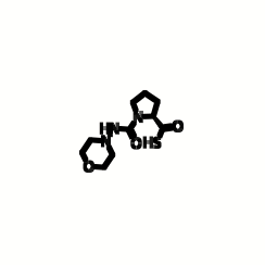 O=C(S)[C@@H]1CCCN1C(=O)NN1CCOCC1